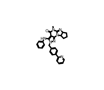 CN1C(=O)c2c(nn(Cc3ccc(-c4ccccn4)cc3)c2Nc2ccccc2)N2C1=NC1CCCC12